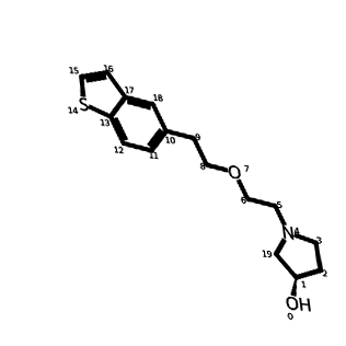 O[C@@H]1CCN(CCOCCc2ccc3sccc3c2)C1